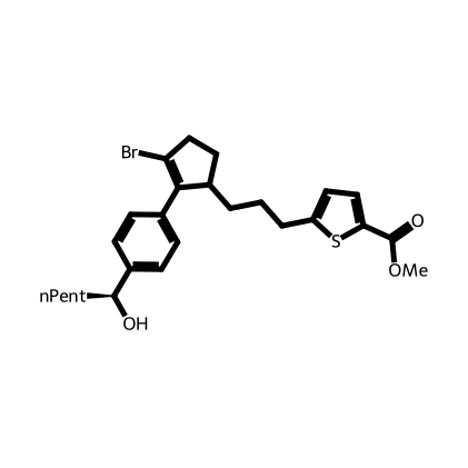 CCCCC[C@H](O)c1ccc(C2=C(Br)CCC2CCCc2ccc(C(=O)OC)s2)cc1